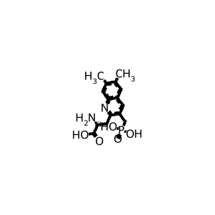 Cc1cc2cc(CP(=O)(O)O)c(C[C@H](N)C(=O)O)nc2cc1C